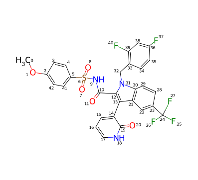 COc1ccc(S(=O)(=O)NC(=O)c2c(-c3ccc[nH]c3=O)c3cc(C(F)(F)F)ccc3n2Cc2ccc(F)cc2F)cc1